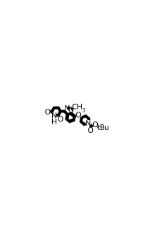 Cn1nc(C2CCC(=O)NC2=O)c2cccc(OC3CCN(C(=O)OC(C)(C)C)CC3)c21